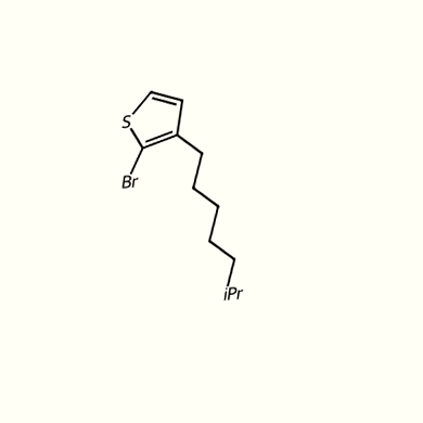 CC(C)CCCCCc1ccsc1Br